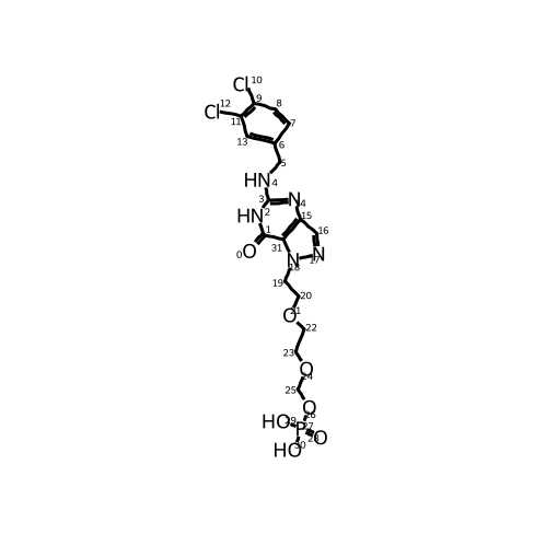 O=c1[nH]c(NCc2ccc(Cl)c(Cl)c2)nc2cnn(CCOCCOCOP(=O)(O)O)c12